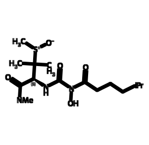 CNC(=O)[C@H](NC(=O)N(O)C(=O)CCCC(C)C)C(C)(C)[S+](C)[O-]